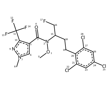 CON(C(=O)c1cn(C)nc1C(F)(F)F)C(CF)CCc1c(Cl)cc(Cl)cc1Cl